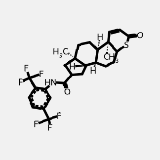 C[C@]12CC[C@@H]3[C@@H](CCC4SC(=O)C=C[C@@]43C)[C@@H]1CC(C(=O)Nc1cc(C(F)(F)F)ccc1C(F)(F)F)C2